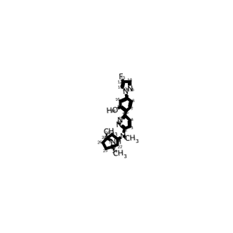 CN(c1ccc(-c2ccc(-n3cc(F)cn3)cc2O)nn1)C1C[C@]2(C)CC[C@](C)(C1)N2